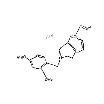 COc1ccc(CN2Cc3ccc(C(=O)O)cc3C2)c(OC)c1.[LiH]